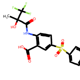 CC(O)(C(=O)Nc1ccc(S(=O)(=O)c2ccccc2)cc1C(=O)O)C(F)(F)F